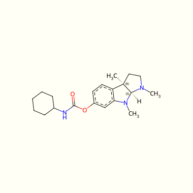 CN1CC[C@]2(C)c3ccc(OC(=O)NC4CCCCC4)cc3N(C)[C@H]12